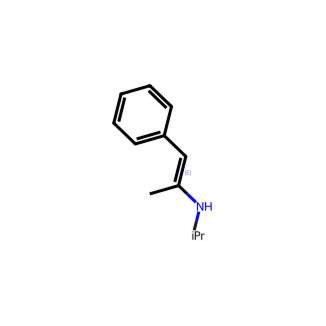 C/C(=C\c1ccccc1)NC(C)C